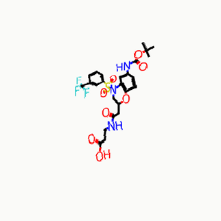 CC(C)(C)OC(=O)Nc1ccc2c(c1)N(S(=O)(=O)c1cccc(C(F)(F)F)c1)CC(CC(=O)NCCC(=O)O)O2